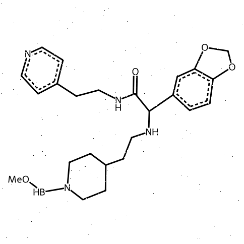 COBN1CCC(CCNC(C(=O)NCCc2ccncc2)c2ccc3c(c2)OCO3)CC1